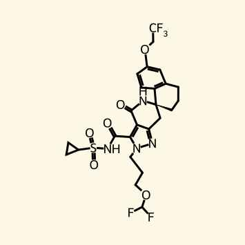 O=C1N[C@@]2(CCCc3cc(OCC(F)(F)F)ccc32)Cc2nn(CCCOC(F)F)c(C(=O)NS(=O)(=O)C3CC3)c21